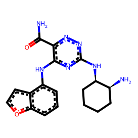 NC(=O)c1nnc(N[C@@H]2CCCC[C@@H]2N)nc1Nc1cccc2occc12